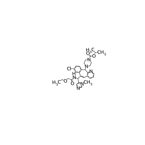 CCOCC(=O)NC(C1=Cc2cccnc2C(N2CCN(C(=O)OC(C)C)CC2)c2ccc(Cl)cc21)c1cncn1C